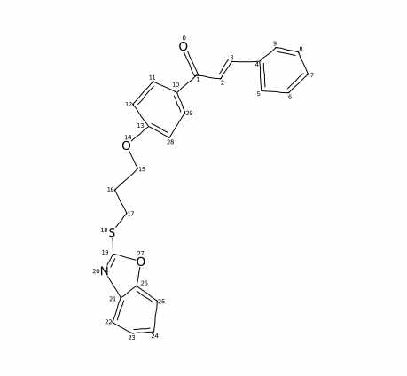 O=C(C=Cc1ccccc1)c1ccc(OCCCSc2nc3ccccc3o2)cc1